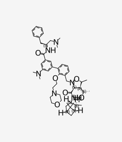 CC1ON(Cc2cccc(-c3cc(C(=O)N[C@@H](Cc4ccccc4)CN(C)C)cc(N(C)C)c3)c2OCCN2CCOCC2)[C@H](C(=O)N[C@H]2C[C@H]3C[C@@H]([C@@H]2C)C3(C)C)[C@@H]1[C@H](C)O